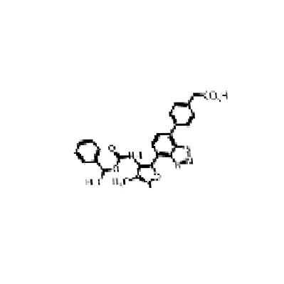 Cc1noc(-c2ccc(-c3ccc(CC(=O)O)cc3)c3snnc23)c1NC(=O)OC(C)c1ccccc1